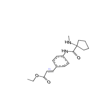 CCOC(=O)/C=C/c1ccc(NC(=O)C2(NC)CCCC2)cc1